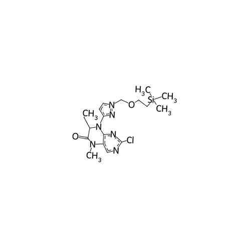 CCC1C(=O)N(C)c2cnc(Cl)nc2N1c1ccn(COCC[Si](C)(C)C)n1